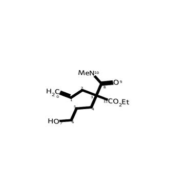 C=CCC(CCCO)(C(=O)NC)C(=O)OCC